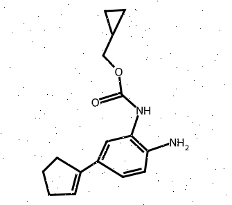 Nc1ccc(C2=CCCC2)cc1NC(=O)OCC1CC1